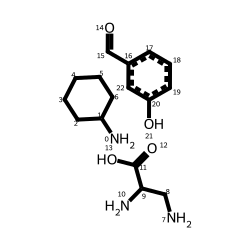 NC1CCCCC1.NCC(N)C(=O)O.O=Cc1cccc(O)c1